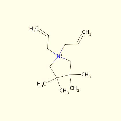 C=CC[N+]1(CC=C)CC(C)(C)C(C)(C)C1